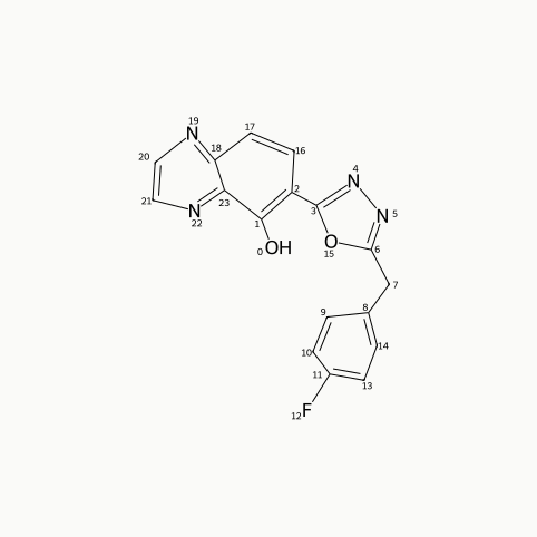 Oc1c(-c2nnc(Cc3ccc(F)cc3)o2)ccc2nccnc12